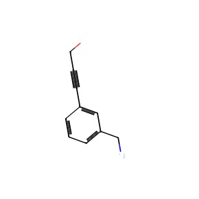 NCc1cccc(C#CCO)c1